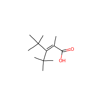 CC(C(=O)O)=C(C(C)(C)C)C(C)(C)C